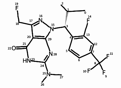 CC(C)[C@H](c1ccc(C(F)(F)F)cc1F)n1nc(CF)c2c(=O)[nH]c(N(C)C)nc21